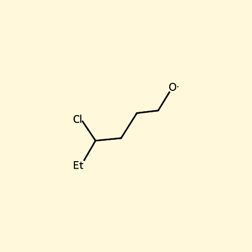 CCC(Cl)CCC[O]